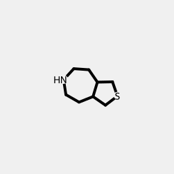 C1CC2CSCC2CCN1